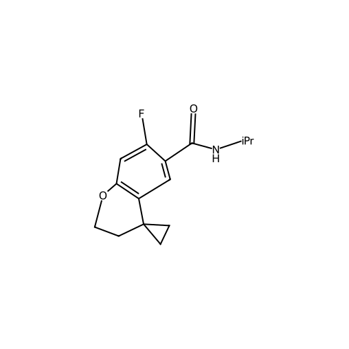 CC(C)NC(=O)c1cc2c(cc1F)OCCC21CC1